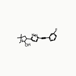 CN1C(O)C(c2ccc(C#Cc3cccc(F)c3)nn2)CC1(C)C